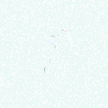 O=Cc1cnc(SCCC=C(F)F)s1